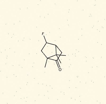 CC12CC(F)C(CC1=O)C2(C)C